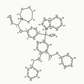 CC(c1ccc(OC(C=O)N2CCCCCC2)cc1)(c1ccc(OCc2ccccc2)c(OCc2ccccc2)c1)n1ccc2ccccc21